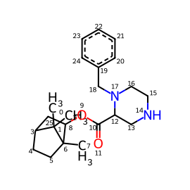 CC1(C)C2CCC1(C)C(OC(=O)C1CNCCN1Cc1ccccc1)C2